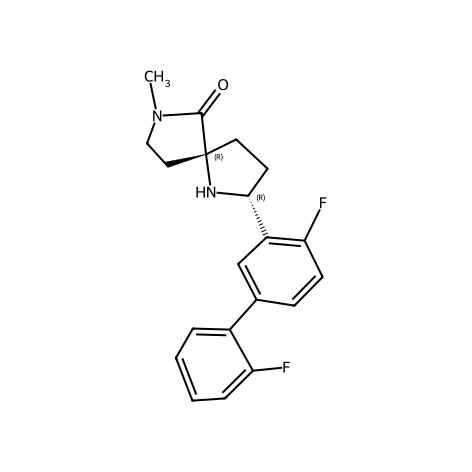 CN1CC[C@]2(CC[C@H](c3cc(-c4ccccc4F)ccc3F)N2)C1=O